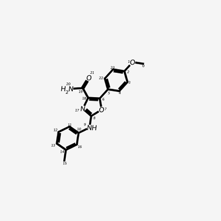 COc1ccc(-c2oc(Nc3cccc(C)c3)nc2C(N)=O)cc1